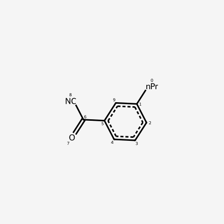 CCCc1cccc(C(=O)C#N)c1